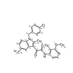 COc1nccc(NC(=O)C(=O)c2c(C)n(Cc3ccc(Cl)cc3)c3ccc(C)cc23)c1Cl